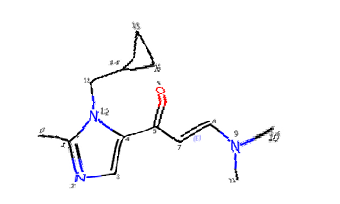 Cc1ncc(C(=O)/C=C/N(C)C)n1CC1CC1